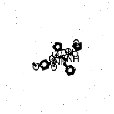 COc1ccc(S(=O)(=O)NC(OC2CCCC2)[C@H](O)[C@H](Cc2ccccc2)NC(=O)Oc2ccoc2)cc1